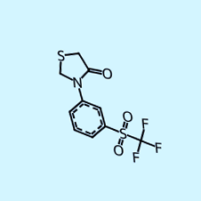 O=C1CSCN1c1cccc(S(=O)(=O)C(F)(F)F)c1